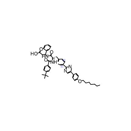 C=C(/C=C\C(=C/C)c1ncc(-c2ccc(OCCCCCCC)cc2)cn1)C[C@H](NC(=O)c1ccc(C(C)(C)C)cc1)C(=O)NC(CC(=O)O)c1ccccc1